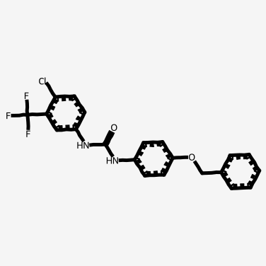 O=C(Nc1ccc(OCc2ccccc2)cc1)Nc1ccc(Cl)c(C(F)(F)F)c1